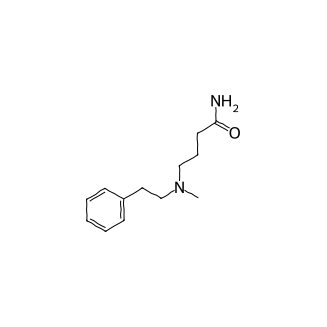 CN(CCCC(N)=O)CCc1ccccc1